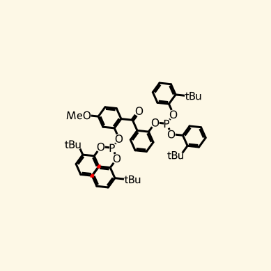 COc1ccc(C(=O)c2ccccc2OP(Oc2ccccc2C(C)(C)C)Oc2ccccc2C(C)(C)C)c(OP(Oc2ccccc2C(C)(C)C)Oc2ccccc2C(C)(C)C)c1